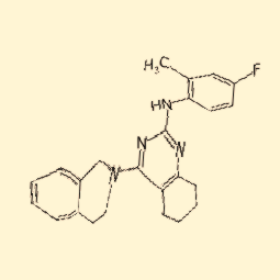 Cc1cc(F)ccc1Nc1nc2c(c(N3CCc4ccccc4C3)n1)CCCC2